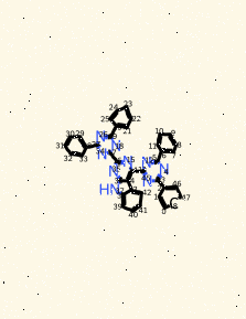 C1=CC(c2nc(-c3ccccc3)nc(-c3nc(-c4nc(-c5ccccc5)nc(-c5ccccc5)n4)nc4[nH]c5ccccc5c34)n2)=CCC1